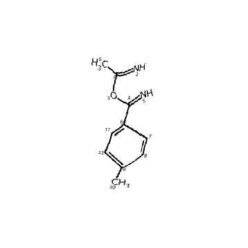 CC(=N)OC(=N)c1ccc(C)cc1